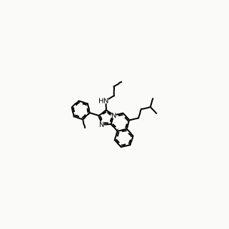 CCCNc1c(-c2ccccc2C)nc2c3ccccc3c(CCC(C)C)cn12